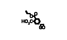 C1COO1.C=CCOC(=O)c1ccccc1C(=O)O